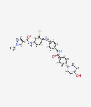 Cn1cc(C(=O)Nc2ccc(Nc3ccc(NC(=O)c4ccc(N5CCC(O)CC5)cc4)cc3)c(F)c2)cn1